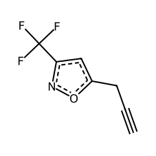 C#CCc1cc(C(F)(F)F)no1